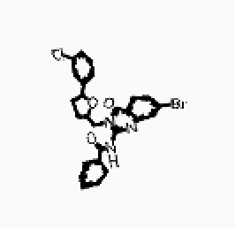 O=C(Nc1nc2cc(Br)ccc2c(=O)n1CC1CCC(c2cccc(Cl)c2)O1)c1ccccc1